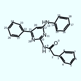 O=C(Cc1ccccc1)Nc1nc(Nc2ccccc2)cc(-c2ccccc2)n1